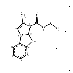 CCOC(=O)N1C(C)=CN2c3ccccc3SC12